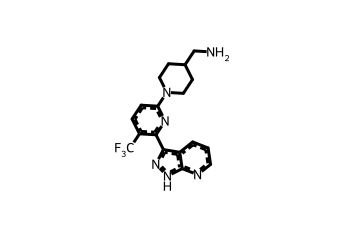 NCC1CCN(c2ccc(C(F)(F)F)c(-c3n[nH]c4ncccc34)n2)CC1